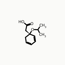 CC(C)O[C@]1(CC(=O)O)C=CC=CC1